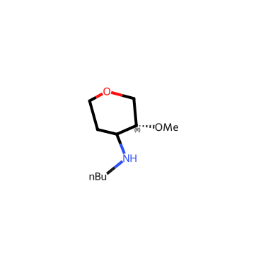 CCCCNC1CCOC[C@@H]1OC